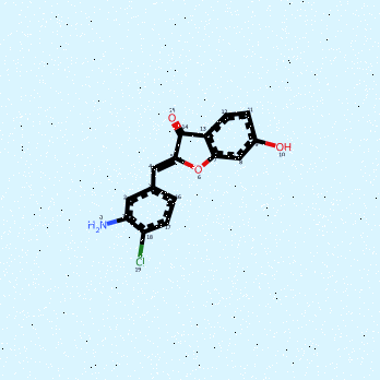 Nc1cc(/C=C2\Oc3cc(O)ccc3C2=O)ccc1Cl